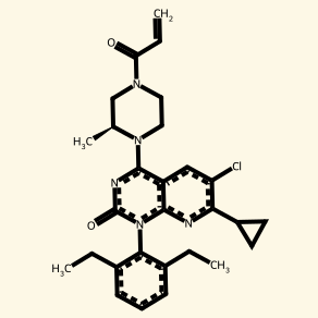 C=CC(=O)N1CCN(c2nc(=O)n(-c3c(CC)cccc3CC)c3nc(C4CC4)c(Cl)cc23)[C@@H](C)C1